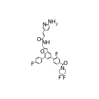 Nc1ccc(/C=C/C(=O)NCc2cc3cc(-c4ccc(C(=O)N5CCC(F)(F)CC5)cc4F)cc(-c4ccc(F)cc4)c3o2)cn1